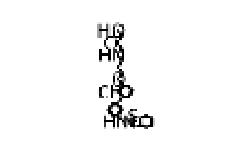 O=C(CO)CNCCCOc1cccc(-c2cccc(NN3Cc4ccccc4S3)c2)c1Cl